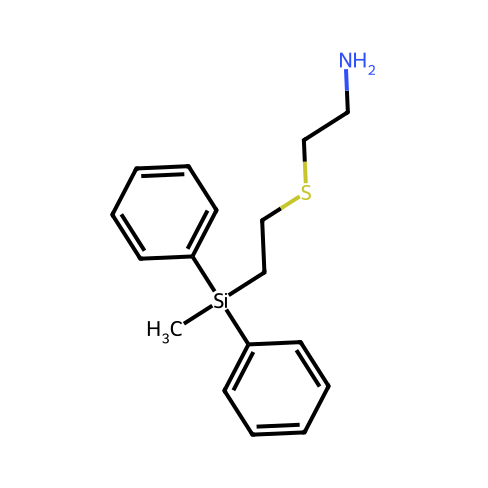 C[Si](CCSCCN)(c1ccccc1)c1ccccc1